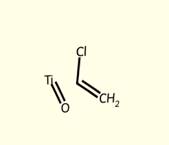 C=CCl.[O]=[Ti]